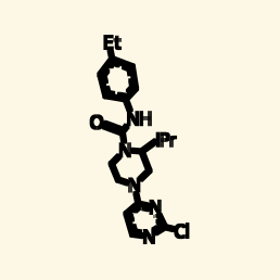 CCc1ccc(NC(=O)N2CCN(c3ccnc(Cl)n3)CC2C(C)C)cc1